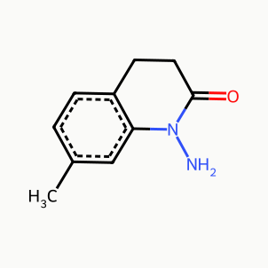 Cc1ccc2c(c1)N(N)C(=O)CC2